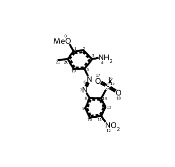 COc1cc(N)c(/N=N/c2ccc([N+](=O)[O-])cc2S(C)(=O)=O)cc1C